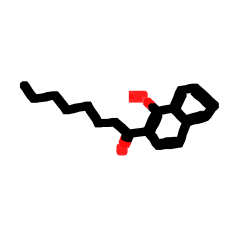 CCCCCCCC(=O)c1ccc2ccccc2c1O